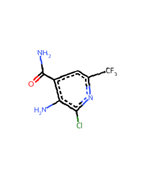 NC(=O)c1cc(C(F)(F)F)nc(Cl)c1N